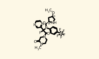 CO[C@H]1CN[C@@H](C(=O)N(c2ccc(S(F)(F)(F)(F)F)cc2)C(F)(C(=O)N2CCN(C)C(=O)C2)c2cnccn2)C1